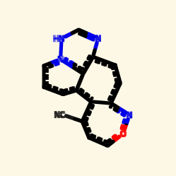 N#Cc1cconc2ccc3c4n(cccc-4c1-2)NC=N3